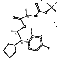 Cc1cc(F)ccc1[C@H](C1CCCC1)[C@H](C)OC(=O)[C@H](C)NC(=O)OC(C)(C)C